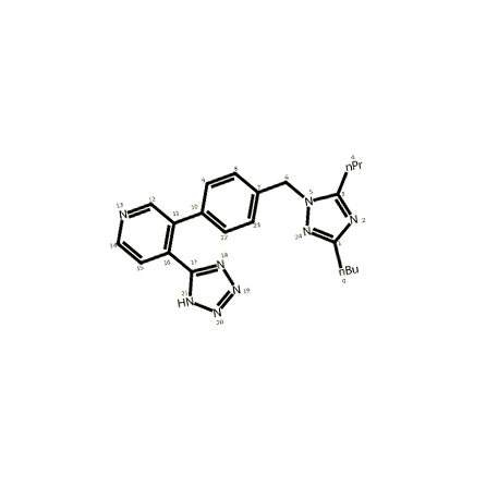 CCCCc1nc(CCC)n(Cc2ccc(-c3cnccc3-c3nnn[nH]3)cc2)n1